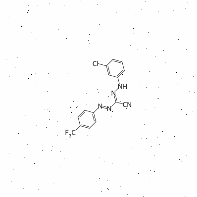 N#CC(N=Nc1ccc(C(F)(F)F)cc1)=NNc1cccc(Cl)c1